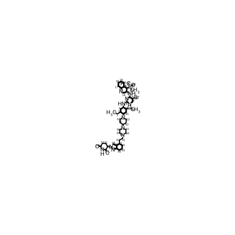 CCc1cc(Nc2ncc(Br)c(Nc3cnc4ccccc4c3P(C)(C)=O)n2)c(OC)cc1N1CCC(N2CCN(CCc3cccc4nn(C5CCC(=O)NC5=O)cc34)CC2)CC1